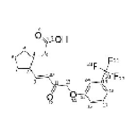 O=C(O)C[C@H]1CCCC1/C=C/C(=O)COc1cccc(C(F)(F)F)c1